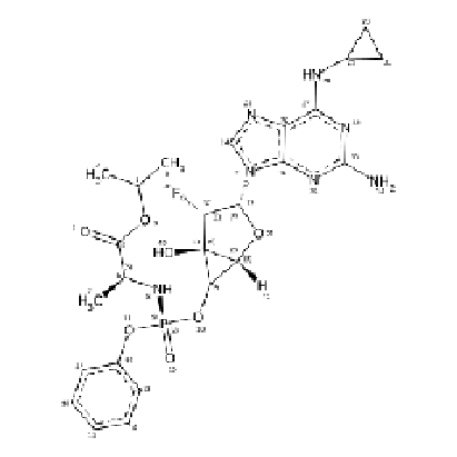 CC(C)OC(=O)[C@H](C)N[P@@](=O)(Oc1ccccc1)OC1[C@H]2O[C@@H](n3cnc4c(NC5CC5)nc(N)nc43)[C@@H](F)[C@@]12O